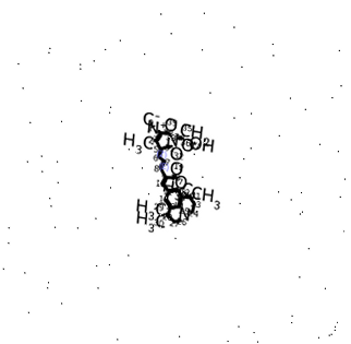 [C-]#[N+]C1=C(C)/C(=C/C=C/c2cc3cc4c5c(c3oc2=O)C(C)(C)CCN5CCC4(C)C)C(=O)N(C(=C)OO)C1=O